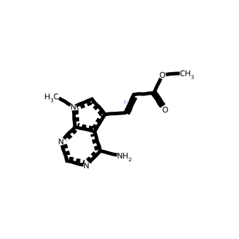 COC(=O)/C=C/c1cn(C)c2ncnc(N)c12